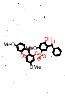 COc1ccc(C(=O)c2ccc(OC)cc2OS(=O)(=O)c2cc(C(=O)c3ccccc3)c(O)cc2OC)c(O)c1